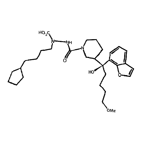 COCCCC[C@@](O)(c1cccc2ccoc12)C1CCCN(C(=O)NN(CCCCC2CCCC2)C(=O)O)C1